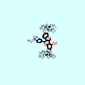 CN(C)c1ccc(C(O)C2=C(c3ccc(O[Si](C)(C)C(C)(C)C)cc3O)COc3cc(O[Si](C)(C)C(C)(C)C)ccc32)cc1